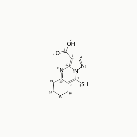 O=C(O)c1cnn2c(S)c3c(nc12)CCCC3